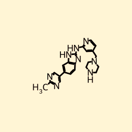 Cc1ncc(-c2ccc3nc(Nc4cc(CN5CCNCC5)ccn4)[nH]c3c2)cn1